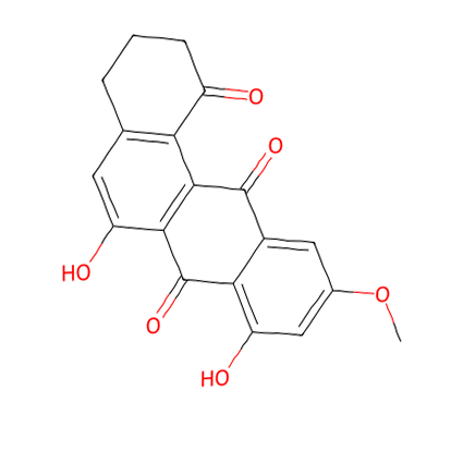 COc1cc(O)c2c(c1)C(=O)c1c(c(O)cc3c1C(=O)CCC3)C2=O